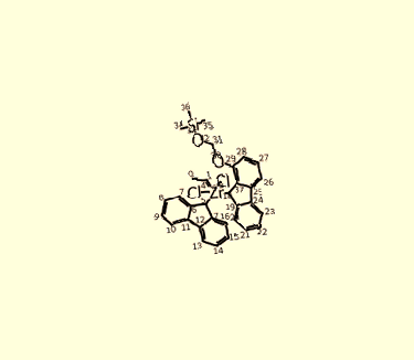 C[CH]=[Zr]([Cl])([Cl])([CH]1c2ccccc2-c2ccccc21)[CH]1c2ccccc2-c2cccc(OCO[Si](C)(C)C)c21